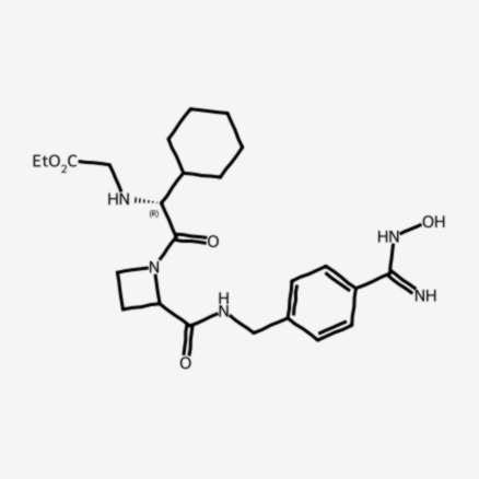 CCOC(=O)CN[C@@H](C(=O)N1CCC1C(=O)NCc1ccc(C(=N)NO)cc1)C1CCCCC1